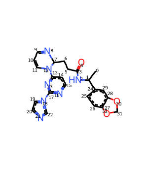 CC(NC(=O)CCC1N=CC=CN1c1ccnc(-n2ccnc2)n1)c1ccc2c(c1)OCO2